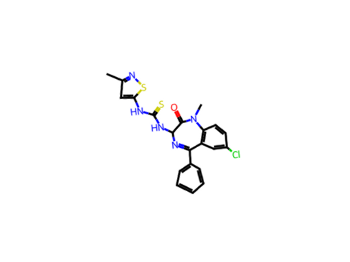 Cc1cc(NC(=S)NC2N=C(c3ccccc3)c3cc(Cl)ccc3N(C)C2=O)sn1